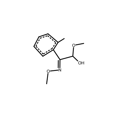 CO/N=C(\c1ccccc1C)C(O)OC